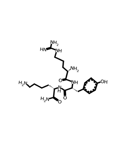 N=C(N)NCCC[C@H](N)C(=O)N[C@H](Cc1ccc(O)cc1)C(=O)N[C@@H](CCCCN)C(N)=O